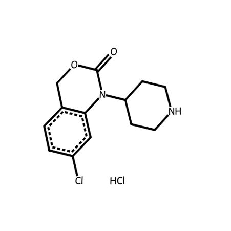 Cl.O=C1OCc2ccc(Cl)cc2N1C1CCNCC1